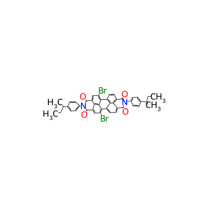 CCC(C)c1ccc(N2C(=O)c3ccc4c5c(Br)cc6c7c(cc(Br)c(c8ccc(c3c48)C2=O)c75)C(=O)N(c2ccc(C(C)CC)cc2)C6=O)cc1